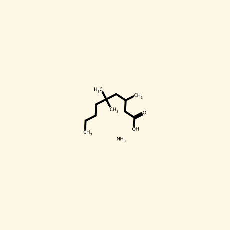 CCCCC(C)(C)CC(C)CC(=O)O.N